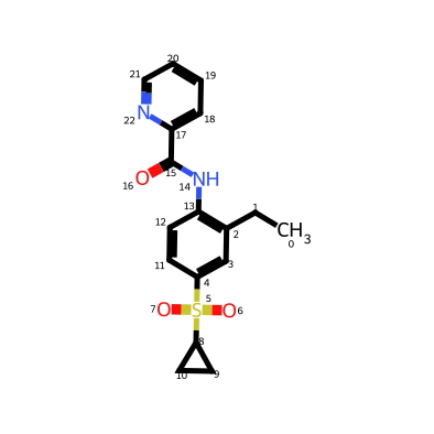 CCc1cc(S(=O)(=O)C2CC2)ccc1NC(=O)c1ccccn1